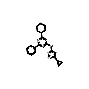 c1ccc(-c2nc(Nc3cc(C4CC4)[nH]n3)nc(C3CCCCC3)n2)cc1